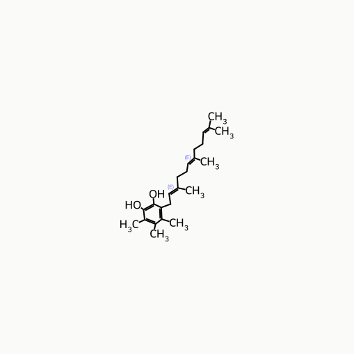 CC(C)=CCC/C(C)=C/CC/C(C)=C/Cc1c(C)c(C)c(C)c(O)c1O